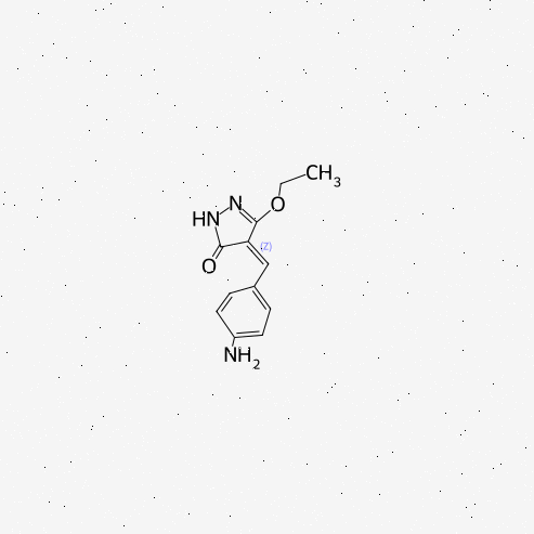 CCOC1=NNC(=O)/C1=C\c1ccc(N)cc1